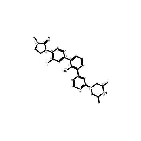 CC1CN(c2cc(-c3cccc(-c4ccc(N5CCN(C)C5=O)c(Cl)c4)c3O)ccn2)CC(C)N1